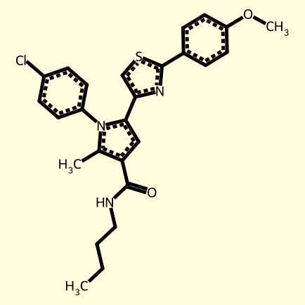 CCCCNC(=O)c1cc(-c2csc(-c3ccc(OC)cc3)n2)n(-c2ccc(Cl)cc2)c1C